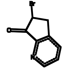 O=C1c2ncccc2CC1Br